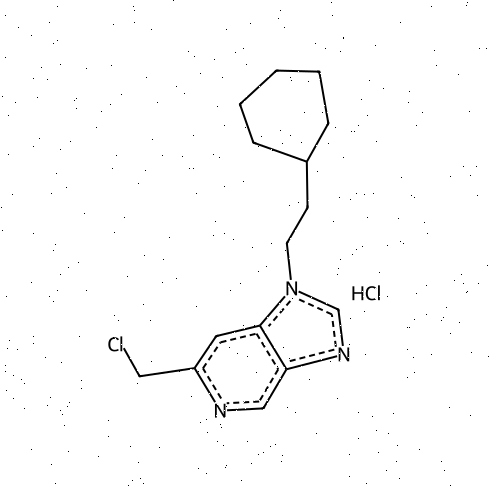 Cl.ClCc1cc2c(cn1)ncn2CCC1CCCCC1